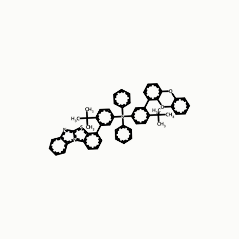 CC(C)(C)c1ccc(S(c2ccccc2)(c2ccccc2)c2ccc(C(C)(C)C)c(-c3cccc4c3sc3nc5ccccc5n34)c2)cc1-c1cccc2c1Oc1ccccc1O2